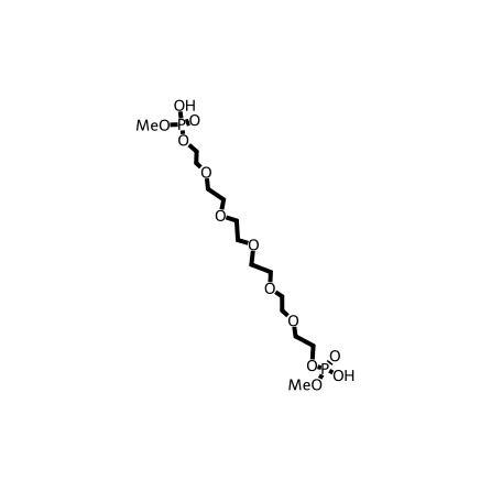 COP(=O)(O)OCCOCCOCCOCCOCCOCCOP(=O)(O)OC